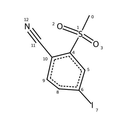 CS(=O)(=O)c1cc(I)ccc1C#N